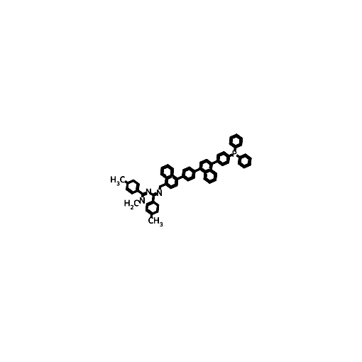 C=N/C(=N\C(=N/Cc1ccc(-c2ccc(-c3ccc(-c4ccc(P(c5ccccc5)c5ccccc5)cc4)c4ccccc34)cc2)c2ccccc12)C1=CC=C(C)CC1)C1=CCC(C)C=C1